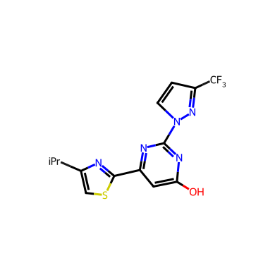 CC(C)c1csc(-c2cc(O)nc(-n3ccc(C(F)(F)F)n3)n2)n1